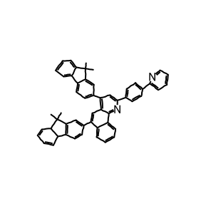 CC1(C)c2ccccc2-c2ccc(-c3cc(-c4ccc(-c5ccccn5)cc4)nc4c3cc(-c3ccc5c(c3)C(C)(C)C3C=CC=CC53)c3ccccc34)cc21